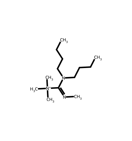 CCCCN(CCCC)/C(=N\C)[N+](C)(C)C